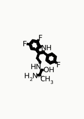 C[C@H](N)C(O)NCCc1c(-c2ccc(F)cc2)[nH]c2c(F)cc(F)cc12